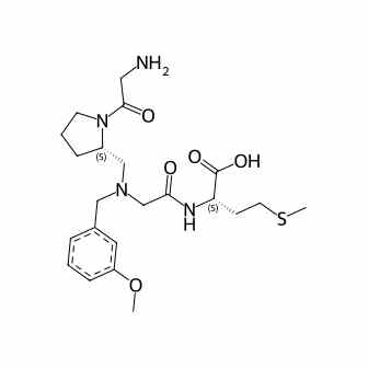 COc1cccc(CN(CC(=O)N[C@@H](CCSC)C(=O)O)C[C@@H]2CCCN2C(=O)CN)c1